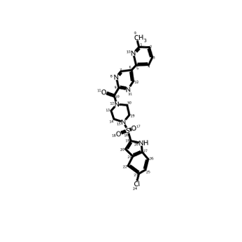 Cc1cccc(-c2cnc(C(=O)N3CCN(S(=O)(=O)c4cc5cc(Cl)ccc5[nH]4)CC3)nc2)n1